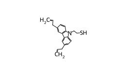 C=CCc1ccc2c(c1)c1cc(CC=C)ccc1n2CCS